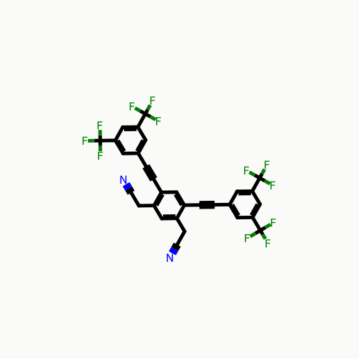 N#CCc1cc(CC#N)c(C#Cc2cc(C(F)(F)F)cc(C(F)(F)F)c2)cc1C#Cc1cc(C(F)(F)F)cc(C(F)(F)F)c1